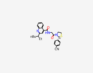 CCCCC(CC)c1cc(C(=O)NCC(=O)N2CCS[C@@H]2c2ccc(C#N)cc2)c2ccccc2n1